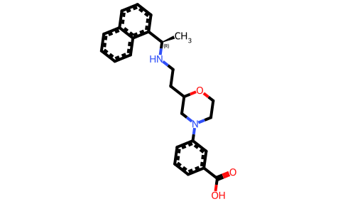 C[C@@H](NCCC1CN(c2cccc(C(=O)O)c2)CCO1)c1cccc2ccccc12